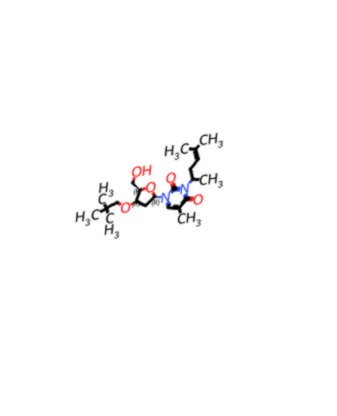 CC(C)=CCC(C)n1c(=O)c(C)cn([C@H]2C[C@@H](OCC(C)(C)C)[C@@H](CO)O2)c1=O